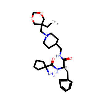 CCC1(CN2CCC(CNC(=O)[C@@H](Cc3ccccc3)NC(=O)C3(N)CCCC3)CC2)COCOC1